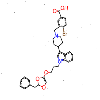 O=C(O)c1ccc(Br)c(CN2CCC(c3cn(CCCOC4=COC(Cc5ccccc5)O4)c4ccccc34)CC2)c1